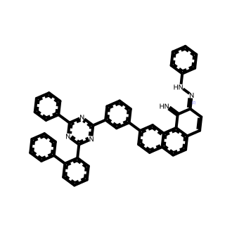 N=C1/C(=N\Nc2ccccc2)C=Cc2ccc3ccc(-c4cccc(-c5nc(-c6ccccc6)nc(-c6ccccc6-c6ccccc6)n5)c4)cc3c21